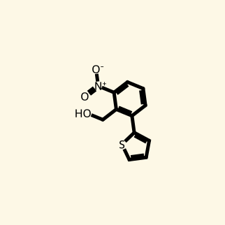 O=[N+]([O-])c1cccc(-c2cccs2)c1CO